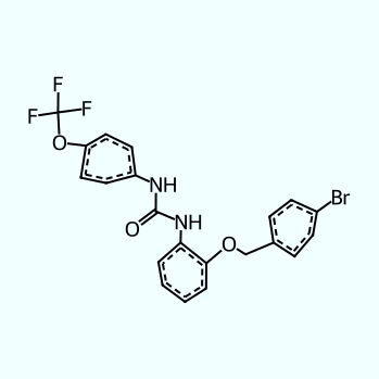 O=C(Nc1ccc(OC(F)(F)F)cc1)Nc1ccccc1OCc1ccc(Br)cc1